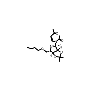 CCCCOC[C@H]1O[C@@](C)(N(/C=C\C(C)=O)C(C)=O)[C@@H]2OC(C)(C)O[C@@H]21